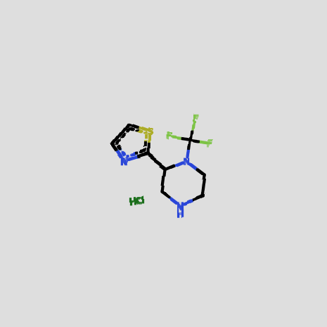 Cl.FC(F)(F)N1CCNCC1c1nccs1